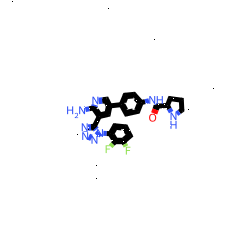 Nc1ncc(-c2ccc(NC(=O)C3CCCN3)cc2)cc1-c1nnnn1-c1cccc(F)c1F